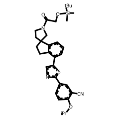 CC(C)Oc1ccc(-c2ncc(-c3cccc4c3CCC43CCN(C(=O)CO[Si](C)(C)C(C)(C)C)C3)s2)cc1C#N